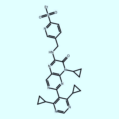 CCS(=O)(=O)c1ccc(CNc2nc3cnc(-c4c(C5CC5)ncnc4C4CC4)nc3n(C3CC3)c2=O)cn1